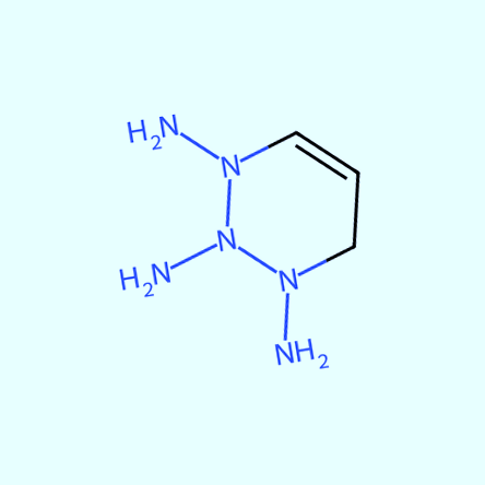 NN1C=CCN(N)N1N